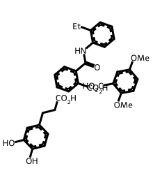 CCc1ccccc1NC(=O)c1ccccc1C(=O)O.COc1ccc(OC)c(C(=O)O)c1.O=C(O)CCc1ccc(O)c(O)c1